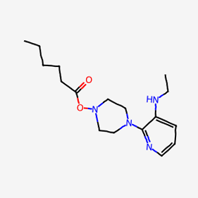 CCCCCC(=O)ON1CCN(c2ncccc2NCC)CC1